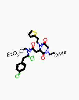 CCOC(=O)CN(C(=O)CC1C(=O)N(CCOC)CC(=O)N1CCc1cccs1)C(Cl)Cc1ccc(Cl)cc1